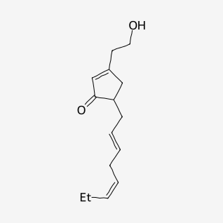 CC/C=C\C/C=C/CC1CC(CCO)=CC1=O